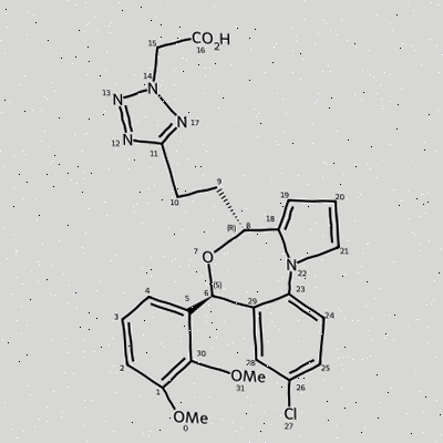 COc1cccc([C@H]2O[C@H](CCc3nnn(CC(=O)O)n3)c3cccn3-c3ccc(Cl)cc32)c1OC